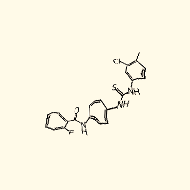 Cc1ccc(NC(=S)Nc2ccc(NC(=O)c3ccccc3F)cc2)cc1Cl